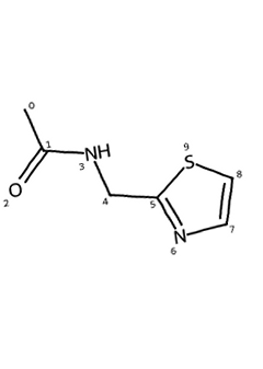 CC(=O)NCc1nccs1